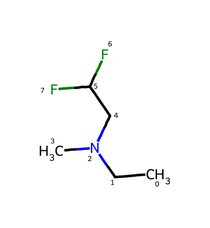 CCN(C)CC(F)F